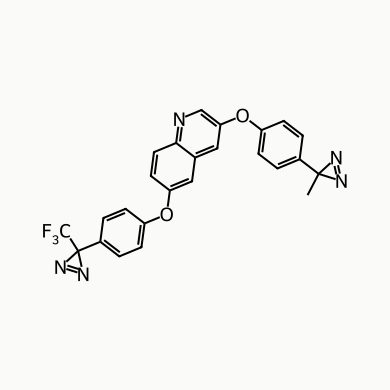 CC1(c2ccc(Oc3cnc4ccc(Oc5ccc(C6(C(F)(F)F)N=N6)cc5)cc4c3)cc2)N=N1